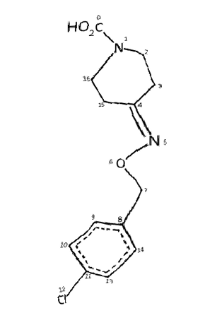 O=C(O)N1CCC(=NOCc2ccc(Cl)cc2)CC1